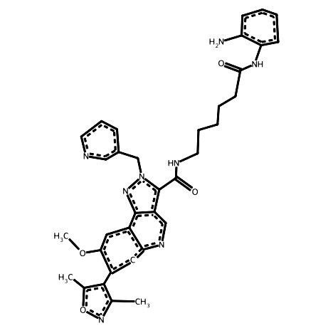 COc1cc2c(cc1-c1c(C)noc1C)ncc1c(C(=O)NCCCCCC(=O)Nc3ccccc3N)n(Cc3cccnc3)nc12